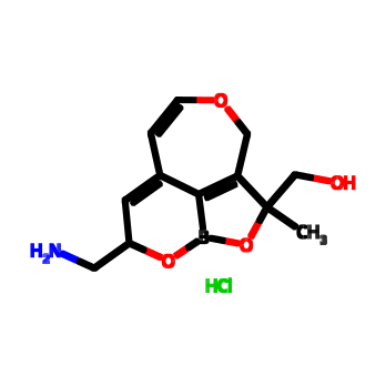 CC1(CO)OB2OC(CN)C=C3C=COCC1=C23.Cl